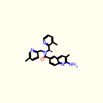 Cc1ccc(CN(C(=O)c2ccc3nc(N)c(C)cc3c2)[C@H](C)c2ncccc2C)nc1